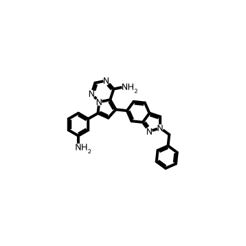 Nc1cccc(-c2cc(-c3ccc4cn(Cc5ccccc5)nc4c3)c3c(N)ncnn23)c1